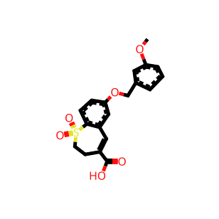 COc1cccc(COc2ccc3c(c2)C=C(C(=O)O)CCS3(=O)=O)c1